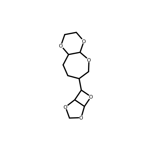 C1COC2OCC(C3OC4OCOC43)CCC2O1